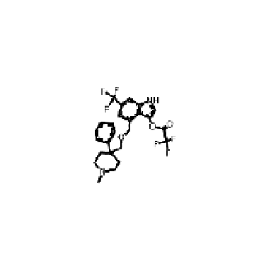 CN1CCC(COCc2cc(C(F)(F)F)cc3[nH]cc(OC(=O)C(F)(F)F)c23)(c2ccccc2)CC1